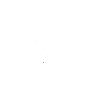 Cc1cc2c(c3c1NCCC3)Sc1c(ccc3c1CCCN3)N2C(=O)OCc1ccc(O[Si](C)(C)C(C)(C)C)cc1